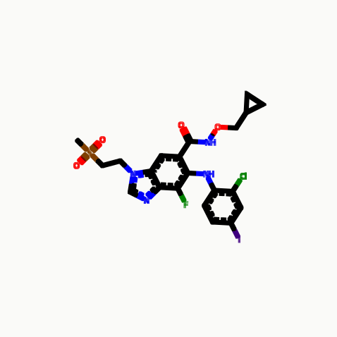 CS(=O)(=O)CCn1cnc2c(F)c(Nc3ccc(I)cc3Cl)c(C(=O)NOCC3CC3)cc21